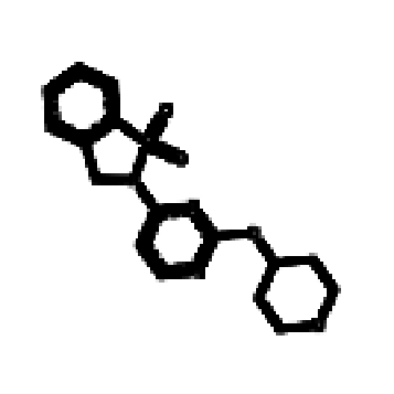 O=S1(=O)c2ccccc2CN1c1ccnc(OC2CCOCC2)n1